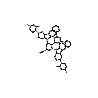 Cc1ccc(-c2ccc3c(c2)c2ccccc2n3-c2cc(C#N)cc(-n3c4ccccc4c4cc(-c5ccc(C)cc5C)ccc43)c2-c2cc(-c3ccccc3)nc(-c3ccccc3)n2)c(C)c1